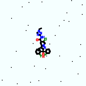 CCc1c(C(O)(c2ccccc2F)c2ccccc2F)nn2cc(Cl)c(C(=O)Nc3ncn(CC)n3)cc12